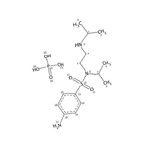 CC(C)NCCN(C(C)C)S(=O)(=O)c1ccc(N)cc1.O=P(O)(O)O